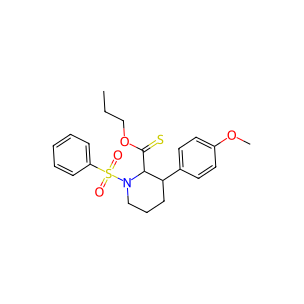 CCCOC(=S)C1C(c2ccc(OC)cc2)CCCN1S(=O)(=O)c1ccccc1